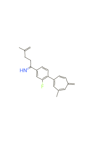 C=C1C=CC(c2ccc(C(=N)CCC(=C)C)cc2F)=CC(C)=C1